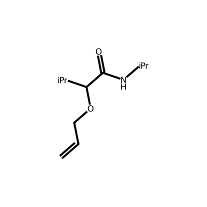 C=CCOC(C(=O)NC(C)C)C(C)C